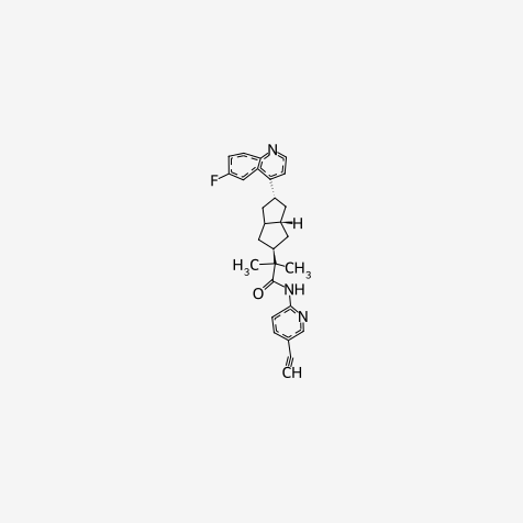 C#Cc1ccc(NC(=O)C(C)(C)[C@H]2CC3C[C@H](c4ccnc5ccc(F)cc45)C[C@@H]3C2)nc1